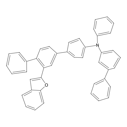 c1ccc(-c2cccc(N(c3ccccc3)c3ccc(-c4ccc(-c5ccccc5)c(-c5cc6ccccc6o5)c4)cc3)c2)cc1